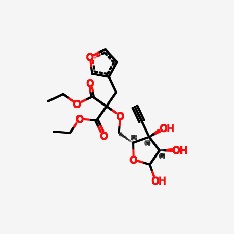 C#C[C@@]1(O)[C@@H](COC(Cc2ccoc2)(C(=O)OCC)C(=O)OCC)OC(O)[C@@H]1O